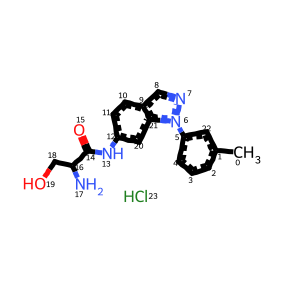 Cc1cccc(-n2ncc3ccc(NC(=O)C(N)CO)cc32)c1.Cl